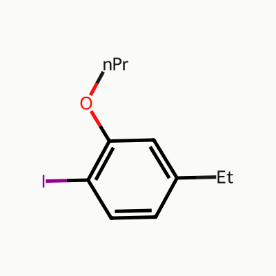 CCCOc1cc(CC)ccc1I